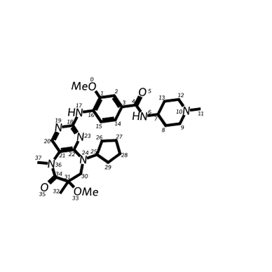 COc1cc(C(=O)NC2CCN(C)CC2)ccc1Nc1ncc2c(n1)N(C1CCCC1)CC(C)(OC)C(=O)N2C